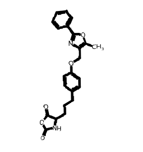 Cc1oc(-c2ccccc2)nc1COc1ccc(CCCC2NC(=O)OC2=O)cc1